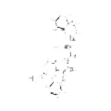 CN1CCCCC1c1ccccc1OCC(=O)NCC(O)CN1CCc2ccccc2C1